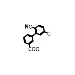 O=C([O-])c1cccc(-c2cc(Cl)ccc2O)c1.[K+]